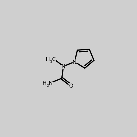 CN(C(N)=O)n1cccc1